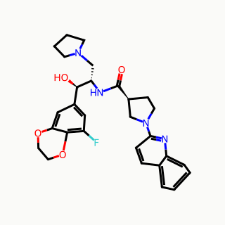 O=C(N[C@@H](CN1CCCC1)[C@H](O)c1cc(F)c2c(c1)OCCO2)[C@H]1CCN(c2ccc3ccccc3n2)C1